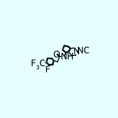 [C-]#[N+]N1CCc2c(cccc2NC(=O)Cc2ccc(C(F)(F)F)c(F)c2)C1